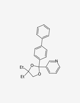 CCC1(CC)COC(c2ccc(-c3ccccc3)cc2)(c2cccnc2)O1